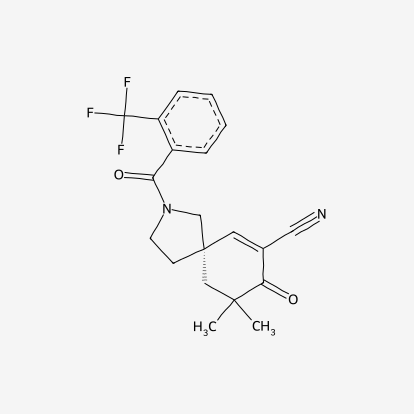 CC1(C)C[C@]2(C=C(C#N)C1=O)CCN(C(=O)c1ccccc1C(F)(F)F)C2